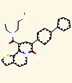 CCN(CCOC)C(=O)c1cc(-c2ccc(-c3ccccc3)cc2)c(=O)n2ccc3ccsc3c12